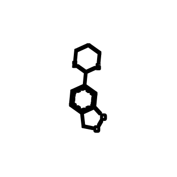 c1cc2c(cc1C1SCCCS1)OOC2